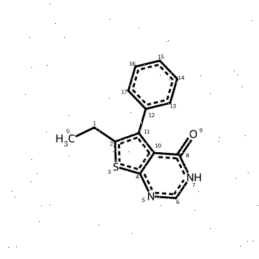 CCc1sc2nc[nH]c(=O)c2c1-c1ccccc1